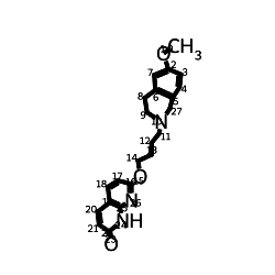 COc1ccc2c(c1)CCN(CCCCOc1ccc3ccc(=O)[nH]c3n1)C2